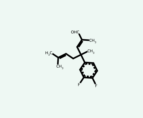 CC(C)=CCC(C)(/C=C(\C)C=O)c1ccc(F)c(F)c1